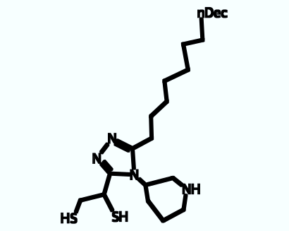 CCCCCCCCCCCCCCCCCc1nnc(C(S)CS)n1C1CCCNC1